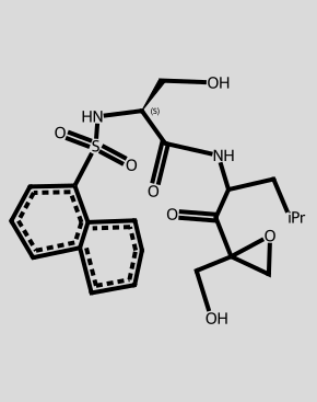 CC(C)CC(NC(=O)[C@H](CO)NS(=O)(=O)c1cccc2ccccc12)C(=O)C1(CO)CO1